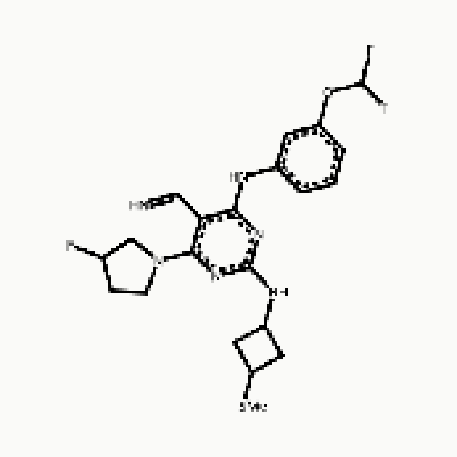 CSC1CC(Nc2nc(Nc3cccc(OC(F)F)c3)c(C=N)c(N3CCC(F)C3)n2)C1